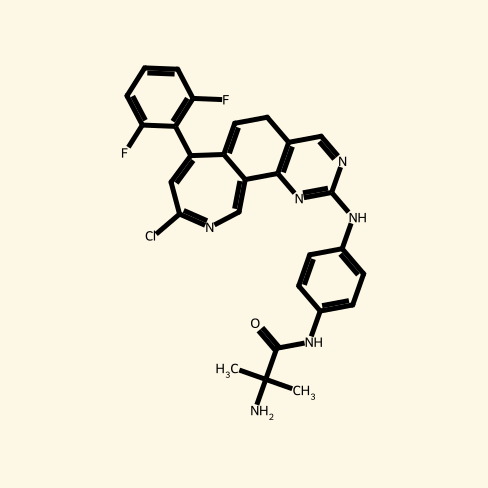 CC(C)(N)C(=O)Nc1ccc(Nc2ncc3c(n2)C2=CN=C(Cl)C=C(c4c(F)cccc4F)C2=CC3)cc1